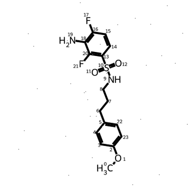 COc1ccc(CCCNS(=O)(=O)c2ccc(F)c(N)c2F)cc1